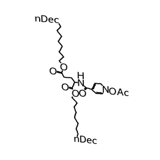 CCCCCCCCCCCCCCCCCCOC(=O)CCC(NC(=O)C1=CCN(OC(C)=O)C=C1)C(=O)OCCCCCCCCCCCCCCCCCC